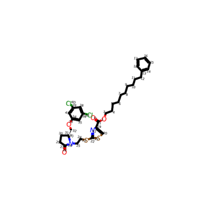 O=C(OCCCCCCCCCCc1ccccc1)c1csc(SCCN2C(=O)CC[C@@H]2COc2cc(Cl)cc(Cl)c2)n1